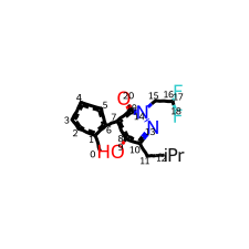 Cc1ccccc1-c1c(O)c(CC(C)C)nn(CC(F)F)c1=O